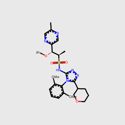 COc1cccc(OC)c1-n1c(NS(=O)(=O)[C@H](C)[C@H](OC(C)C)c2cnc(C)cn2)nnc1C1CCCOC1